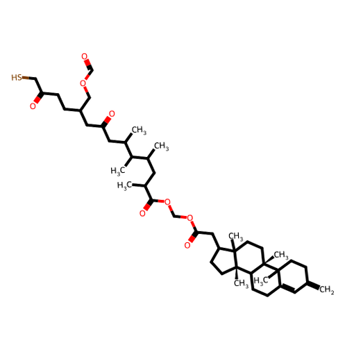 C=C1C=C2CCC3[C@](C)(CCC4(C)C(CC(=O)OCOC(=O)C(C)CC(C)C(C)C(C)CC(=O)CC(CCC(=O)CS)COC=O)CC[C@@]34C)C2(C)CC1